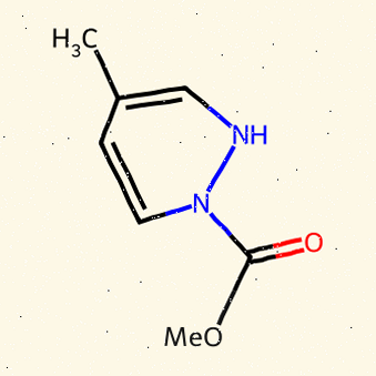 COC(=O)N1C=CC(C)=CN1